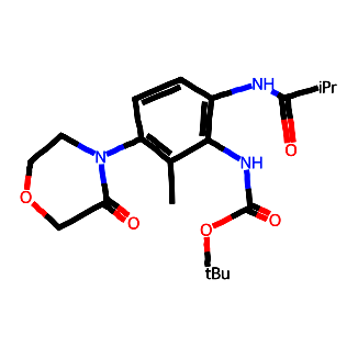 Cc1c(N2CCOCC2=O)ccc(NC(=O)C(C)C)c1NC(=O)OC(C)(C)C